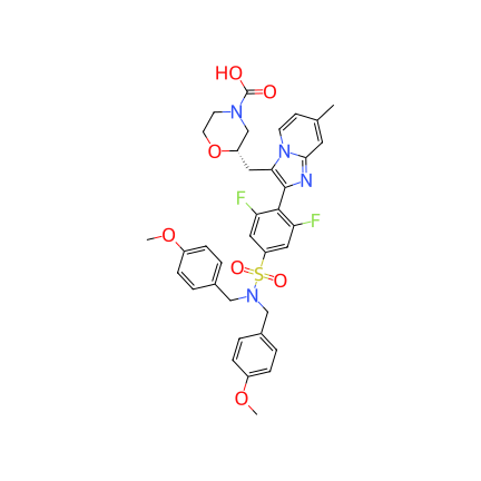 COc1ccc(CN(Cc2ccc(OC)cc2)S(=O)(=O)c2cc(F)c(-c3nc4cc(C)ccn4c3C[C@H]3CN(C(=O)O)CCO3)c(F)c2)cc1